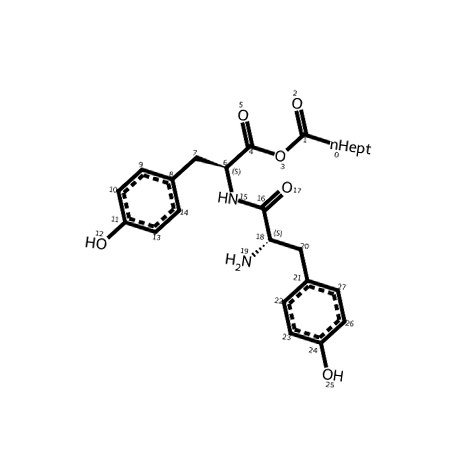 CCCCCCCC(=O)OC(=O)[C@H](Cc1ccc(O)cc1)NC(=O)[C@@H](N)Cc1ccc(O)cc1